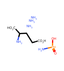 N.N.N.NC(CCC(=O)O)C(=O)O.N[PH](=O)O